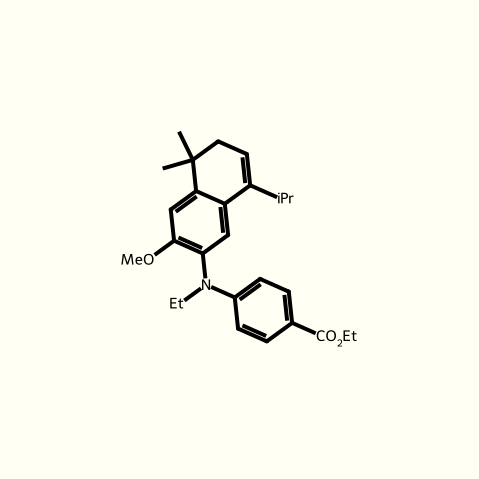 CCOC(=O)c1ccc(N(CC)c2cc3c(cc2OC)C(C)(C)CC=C3C(C)C)cc1